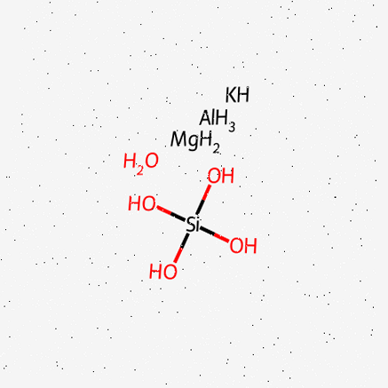 O.O[Si](O)(O)O.[AlH3].[KH].[MgH2]